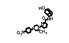 C[C@@H]1CN(c2ccc([N+](=O)[O-])cc2)CCN1c1cccc(C(=O)NC2C3CC4CC2CC(O)(C4)C3)n1